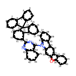 c1ccc2c(c1)-c1ccccc1C21c2ccccc2-c2c(-c3nc(-n4c5ccccc5c5cc6c(cc54)oc4ccccc46)c4ccccc4n3)cccc21